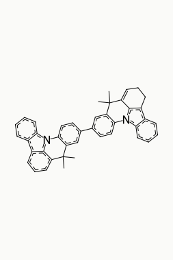 CC1(C)C2=CCCc3c2n(c2ccccc32)-c2ccc(-c3ccc4c(c3)C(C)(C)c3cccc5c6ccccc6n-4c35)cc21